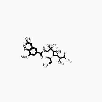 C=CC(F)[C@@H]1C(C(O)(CNC(=O)c2cc(OC)c3nnc(C)cc3c2)C(F)(F)F)N[C@@H]1[C@H](C)[C@H](C)F